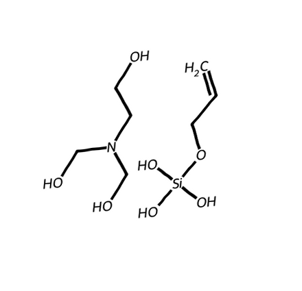 C=CCO[Si](O)(O)O.OCCN(CO)CO